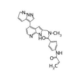 C=CC(=O)Nc1ccc(C(=O)N(C)Cc2cc3c(-c4cnn5ncccc45)ccnc3[nH]2)cc1